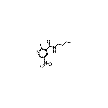 CCCCNC(=O)c1cc([N+](=O)[O-])cnc1C